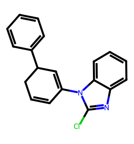 Clc1nc2ccccc2n1C1=CC(c2ccccc2)CC=C1